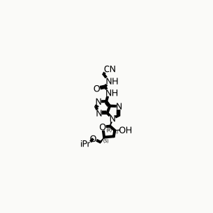 CC(C)OC[C@@H]1C[C@@H](O)[C@H](n2cnc3c(NC(=O)NCC#N)ncnc32)O1